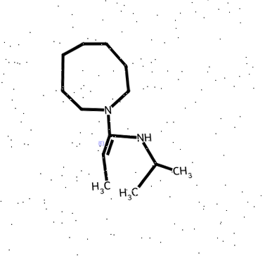 C/C=C(\NC(C)C)N1CCCCCCC1